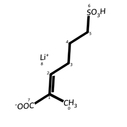 CC(=CCCCS(=O)(=O)O)C(=O)[O-].[Li+]